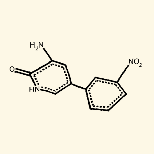 Nc1cc(-c2cccc([N+](=O)[O-])c2)c[nH]c1=O